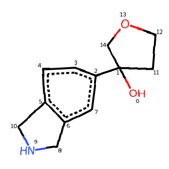 OC1(c2ccc3c(c2)CNC3)CCOC1